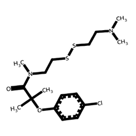 CN(C)CCSSCCN(C)C(=O)C(C)(C)Oc1ccc(Cl)cc1